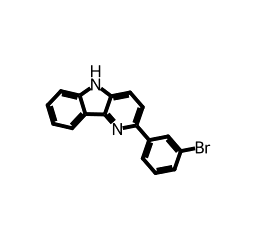 Brc1cccc(-c2ccc3[nH]c4ccccc4c3n2)c1